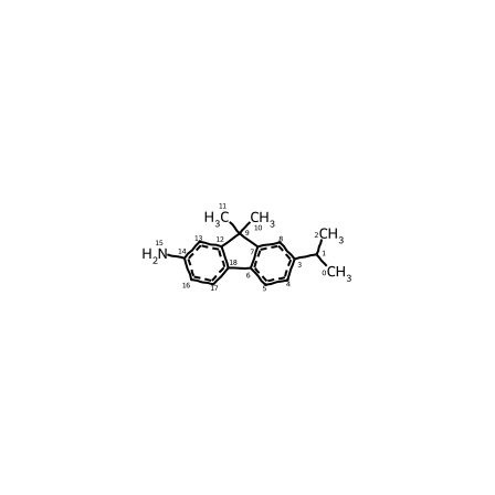 CC(C)c1ccc2c(c1)C(C)(C)c1cc(N)ccc1-2